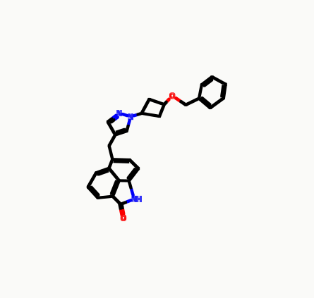 O=C1Nc2ccc(Cc3cnn(C4CC(OCc5ccccc5)C4)c3)c3cccc1c23